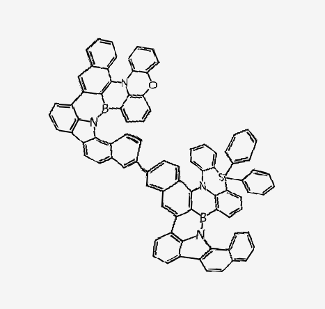 c1ccc([Si]2(c3ccccc3)c3ccccc3N3c4c(cccc42)B2c4c(cc5cc(-c6ccc7c(ccc8c9cccc%10c9n(c78)B7c8cccc9c8N(c8ccccc8O9)c8c7c-%10cc7ccccc87)c6)ccc5c43)-c3cccc4c5ccc6ccccc6c5n2c34)cc1